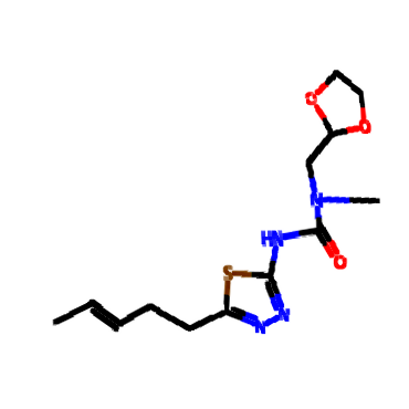 CC=CCCc1nnc(NC(=O)N(C)CC2OCCO2)s1